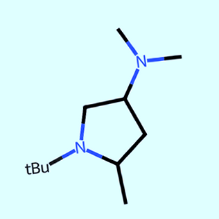 CC1CC(N(C)C)CN1C(C)(C)C